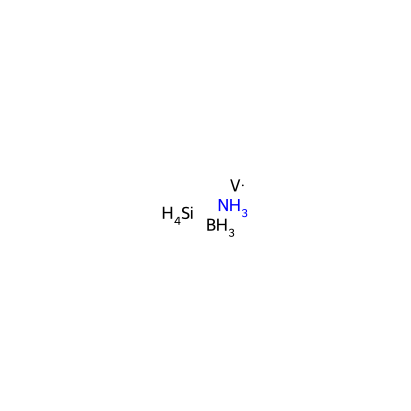 B.N.[SiH4].[V]